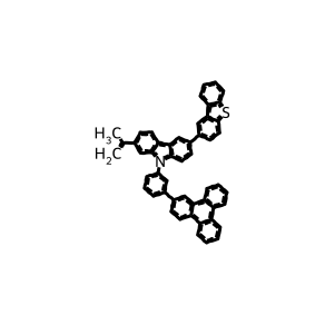 C=C(C)c1ccc2c3cc(-c4ccc5sc6ccccc6c5c4)ccc3n(-c3cccc(-c4ccc5c6ccccc6c6ccccc6c5c4)c3)c2c1